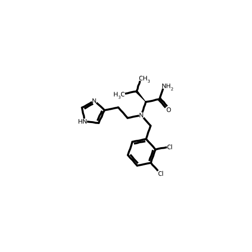 CC(C)[C@@H](C(N)=O)N(CCc1c[nH]cn1)Cc1cccc(Cl)c1Cl